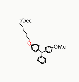 CCCCCCCCCCCCCCCCOc1ccc(C(c2ccccc2)c2ccc(OC)cc2)cc1